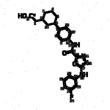 O=C(O)CC1CCCC(c2ccc(NC(=O)c3nnc(Nc4cccc(F)c4)o3)cc2)C1